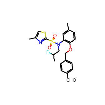 Cc1ccc(OCc2ccc(C=O)cc2)c(N(CC(C)F)S(=O)(=O)c2nc(C)cs2)c1